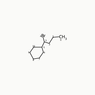 CCCC(Br)C1CCCCC1